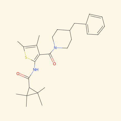 Cc1sc(NC(=O)C2C(C)(C)C2(C)C)c(C(=O)N2CCC(Cc3ccccc3)CC2)c1C